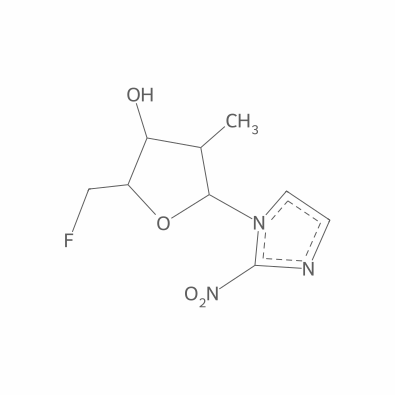 CC1C(O)C(CF)OC1n1ccnc1[N+](=O)[O-]